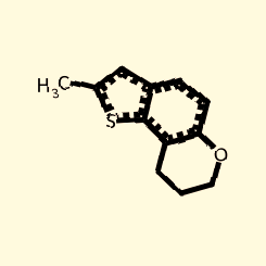 Cc1cc2ccc3c(c2s1)CCCO3